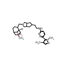 Cc1cnn(C)c1-c1ccc(NCCC2CC3CN(CC4CCC5CC(C)C[C@@H]4C5C)CC3C2)nn1